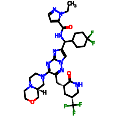 CCn1nccc1C(=O)N[C@H](c1cn2nc(C[C@H]3C[C@@H](C(F)(F)F)CNC3=O)c(N3CCN4CCOC[C@@H]4C3)nc2n1)C1CCC(F)(F)CC1